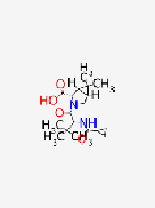 CC(C)(C)C(NC(=O)C1CC1)C(=O)N1C[C@H]2[C@@H]([C@H]1C(=O)O)C2(C)C